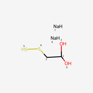 OC(O)CSS.[NaH].[NaH]